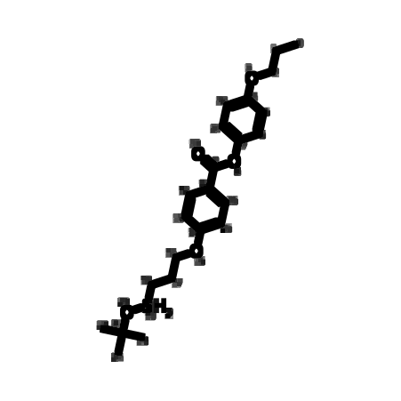 CCCOc1ccc(OC(=O)c2ccc(OCCC[SiH2]OC(C)(C)C)cc2)cc1